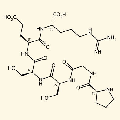 N=C(N)NCCC[C@H](NC(=O)[C@H](CCC(=O)O)NC(=O)[C@H](CO)NC(=O)[C@H](CO)NC(=O)CNC(=O)[C@@H]1CCCN1)C(=O)O